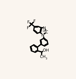 CC(O)c1ccccc1-c1cccc(-n2[12cH]nc3cc(C(F)(F)F)ccc32)c1